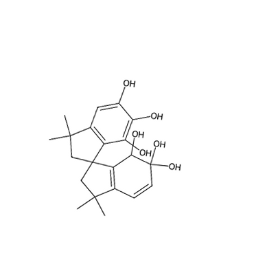 CC1(C)CC2(CC(C)(C)c3cc(O)c(O)c(O)c32)C2=C1C=CC(O)(O)C2O